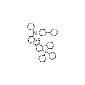 c1ccc(-c2ccc(N(c3ccccc3)c3cccc4c3sc3c5c(ccc34)C(c3ccccc3)(c3ccccc3)c3ccccc3-5)cc2)cc1